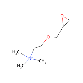 C[N+](C)(C)CCOCC1CO1